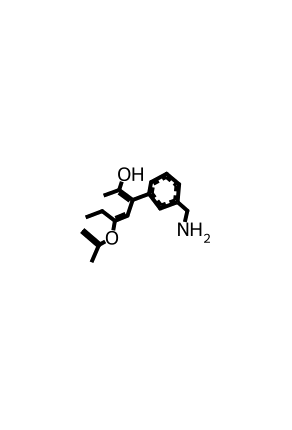 C=C(C)O/C(=C/C(=C(\C)O)c1cccc(CN)c1)CC